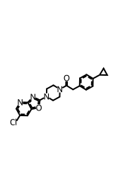 O=C(Cc1ccc(C2CC2)cc1)N1CCN(c2nc3ncc(Cl)cc3o2)CC1